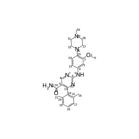 COc1cc(Nc2ncc(C(N)=O)c(-c3c(C)cccc3C)n2)ccc1N1CCN(C)CC1